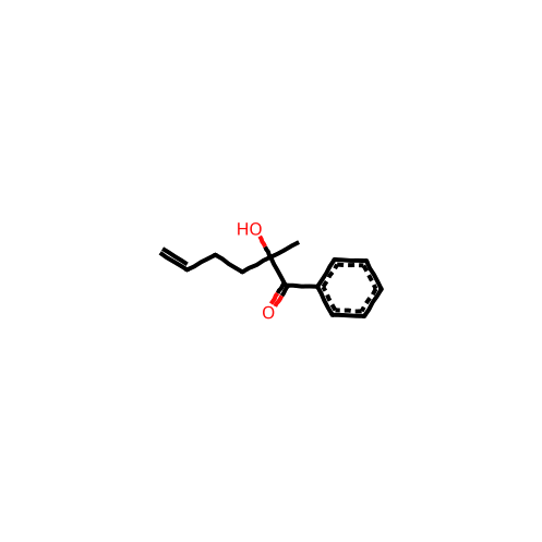 C=CCCC(C)(O)C(=O)c1ccccc1